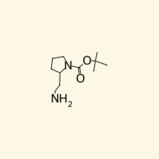 CC(C)(C)OC(=O)N1CCCC1CCN